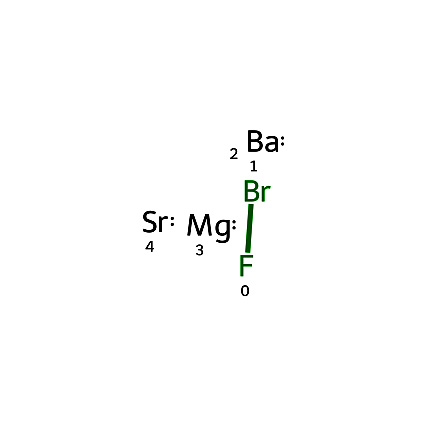 FBr.[Ba].[Mg].[Sr]